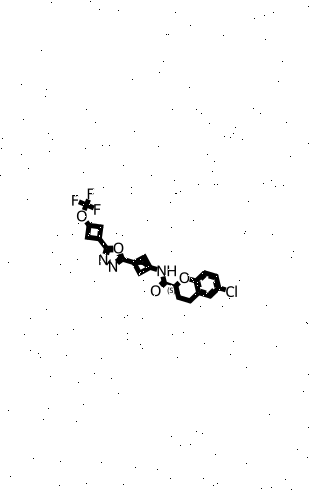 O=C(NC12CC(c3nnc(C4CC(OC(F)(F)F)C4)o3)(C1)C2)[C@@H]1CCc2cc(Cl)ccc2O1